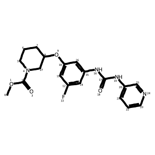 COC(=O)N1CCCC(Oc2cc(F)cc(NC(=O)Nc3cccnc3)c2)C1